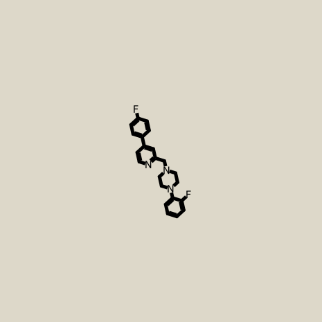 Fc1ccc(-c2ccnc(CN3CCN(c4ccccc4F)CC3)c2)cc1